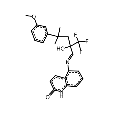 COc1cccc(C(C)(C)CC(O)(/C=N/c2cccc3[nH]c(=O)ccc23)C(F)(F)F)c1